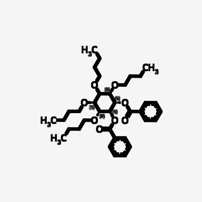 CCCCOC1[C@@H](OCCCC)[C@H](OC(=O)c2ccccc2)[C@@H](OC(=O)c2ccccc2)[C@H](OCCCC)[C@H]1OCCCC